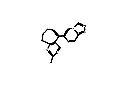 Cc1ncc2c(n1)CCCC=C2c1ccc2nncn2c1